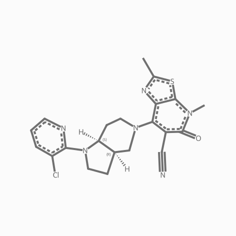 Cc1nc2c(N3CC[C@H]4[C@H](CCN4c4ncccc4Cl)C3)c(C#N)c(=O)n(C)c2s1